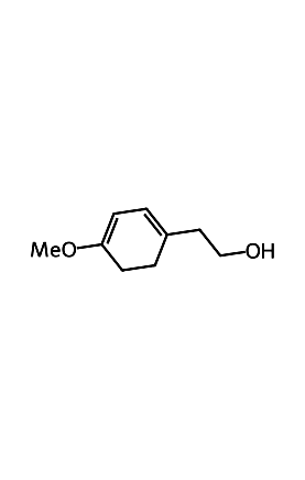 COC1=CC=C(CCO)CC1